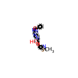 Cc1nc2cc(OC[C@H](O)CN3CCN(Cc4noc(-c5ccccc5)n4)CC3)ccc2s1